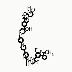 CC1=Nc2c(F)cc(-c3nc(Nc4ccc(C5CCN(c6ccc(CN7CCC(O)(c8ccc9c(c8)CN(C8CCC(=O)NC8=O)C9=O)CC7)cc6)CC5)cn4)ncc3F)cc2C12CCCC2